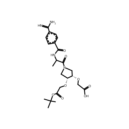 CC(NC(=O)c1ccc(C(=N)N)cc1)C(=O)N1C[C@H](OCC(=O)O)[C@H](OCC(=O)OC(C)(C)C)C1